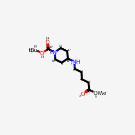 COC(=O)CCCCNC1CCN(C(=O)OC(C)(C)C)CC1